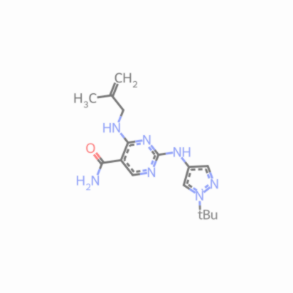 C=C(C)CNc1nc(Nc2cnn(C(C)(C)C)c2)ncc1C(N)=O